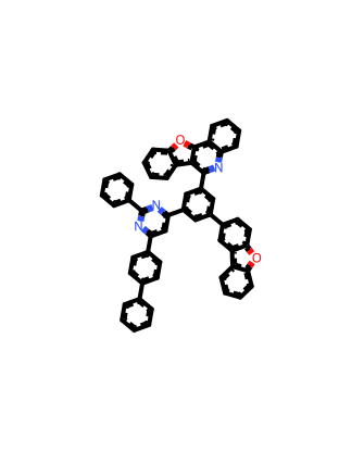 c1ccc(-c2ccc(-c3cc(-c4cc(-c5ccc6oc7ccccc7c6c5)cc(-c5nc6ccccc6c6oc7ccccc7c56)c4)nc(-c4ccccc4)n3)cc2)cc1